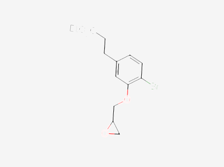 CCOC(=O)CCc1ccc(Br)c(OCC2CO2)c1